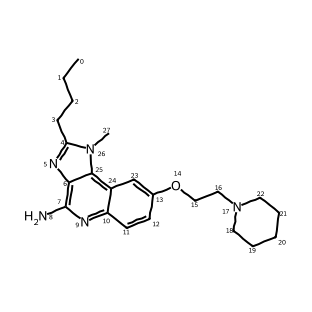 CCCCc1nc2c(N)nc3ccc(OCCN4CCCCC4)cc3c2n1C